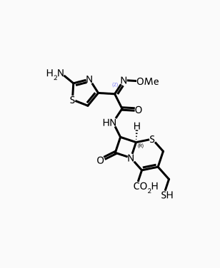 CO/N=C(\C(=O)NC1C(=O)N2C(C(=O)O)=C(CS)CS[C@H]12)c1csc(N)n1